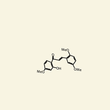 COc1ccc(C(=O)/C=C/c2cc(OC)ccc2OC)c(O)c1